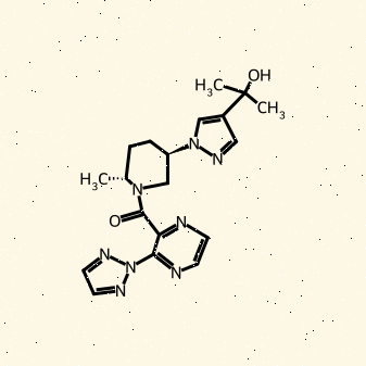 C[C@@H]1CC[C@@H](n2cc(C(C)(C)O)cn2)CN1C(=O)c1nccnc1-n1nccn1